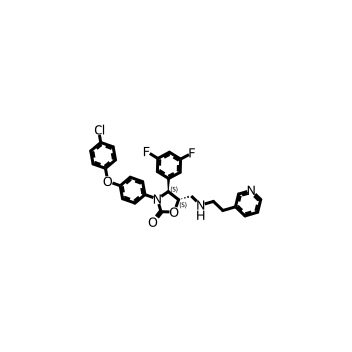 O=C1O[C@@H](CNCCc2cccnc2)[C@H](c2cc(F)cc(F)c2)N1c1ccc(Oc2ccc(Cl)cc2)cc1